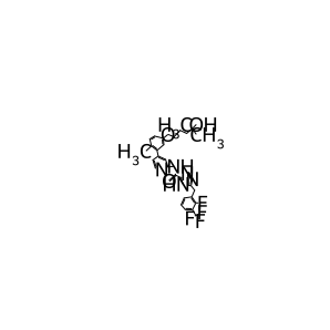 Cc1ccc(OCCCC(C)(C)O)cc1-c1ccnc(NC(=O)c2nnc(Cc3cccc(C(F)(F)F)c3F)[nH]2)c1